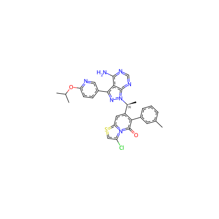 Cc1cccc(-c2c([C@H](C)n3nc(-c4ccc(OC(C)C)nc4)c4c(N)ncnc43)cc3scc(Cl)n3c2=O)c1